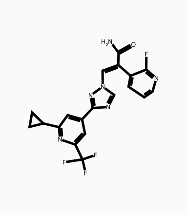 NC(=O)/C(=C/n1cnc(-c2cc(C3CC3)nc(C(F)(F)F)c2)n1)c1cccnc1F